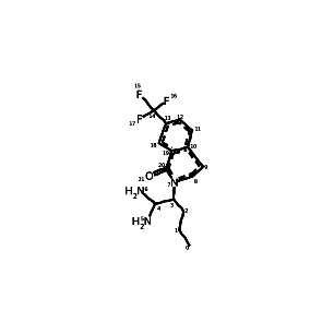 CCCC(C(N)N)n1ccc2ccc(C(F)(F)F)cc2c1=O